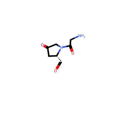 NCC(=O)N1CC(=O)C[C@H]1C=O